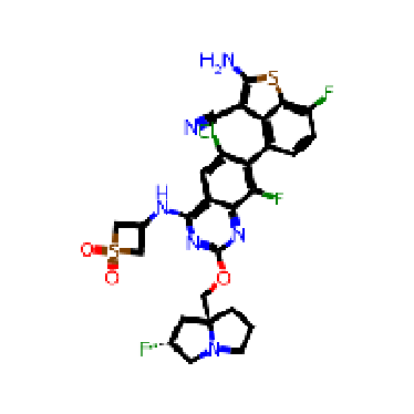 N#Cc1c(N)sc2c(F)ccc(-c3c(Cl)cc4c(NC5CS(=O)(=O)C5)nc(OC[C@@]56CCCN5C[C@H](F)C6)nc4c3F)c12